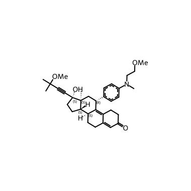 COCCN(C)c1ccc([C@H]2C[C@@]3(C)[C@@H](CC[C@@]3(O)C#CC(C)(C)OC)[C@@H]3CCC4=CC(=O)CCC4=C32)cc1